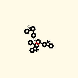 CC1(C)c2ccccc2-c2ccc(-c3ccc(N(c4ccc(-c5cccc6sc7ccccc7c56)cc4)c4ccccc4-c4cccc5c4-c4ccccc4C5(C)C)cc3)cc21